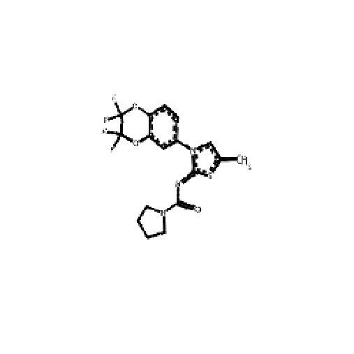 Cc1cn(-c2ccc3c(c2)OC(F)(F)C(F)(F)O3)c(=NC(=O)N2CCCC2)s1